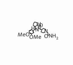 COc1ccc(C2=NN(C3CCN(CC(N)=O)CC3)C(=O)[C@@H]3CCCC[C@H]23)cc1OC